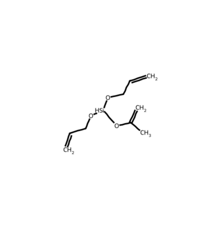 C=CCO[SiH](OCC=C)OC(=C)C